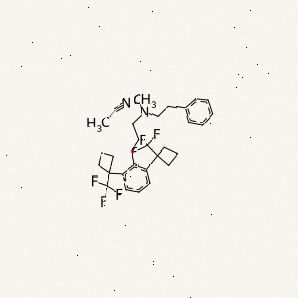 CC#N.CN(CCCc1c(C2(C(F)(F)F)CCC2)cccc1C1(C(F)(F)F)CCC1)CCc1ccccc1